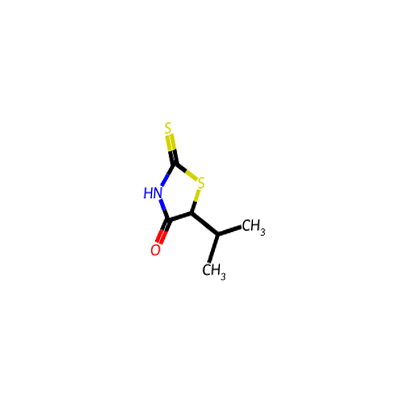 CC(C)C1SC(=S)NC1=O